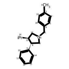 Cc1ccc(CN2C[C@H](c3ccccc3)[C@@H](C(C)C)C2)cc1